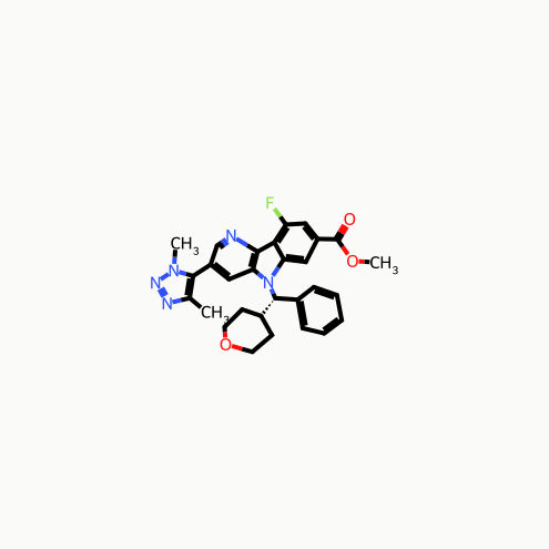 COC(=O)c1cc(F)c2c3ncc(-c4c(C)nnn4C)cc3n([C@H](c3ccccc3)C3CCOCC3)c2c1